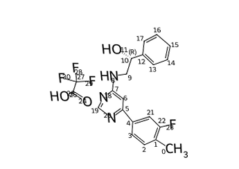 Cc1ccc(-c2cc(NC[C@H](O)c3ccccc3)ncn2)cc1F.O=C(O)C(F)(F)F